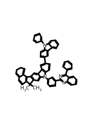 CC1(C)c2cc3c(cc2-c2c1ccc1c2=CCCC=1)c1cc(-c2ccc4c(c2)c2ccccc2n4-c2ccccc2)ccc1n3-c1cccc(-c2nc(-c3ccccc3)c3ccccc3n2)c1